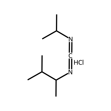 CC(C)N=C=NC(C)C(C)C.Cl